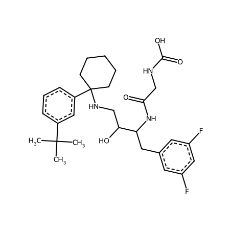 CC(C)(C)c1cccc(C2(NCC(O)C(Cc3cc(F)cc(F)c3)NC(=O)CNC(=O)O)CCCCC2)c1